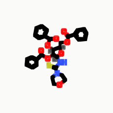 O=C(OC[C@H]1O[C@@H](NC(=S)N2CCOCC2)[C@H](OC(=O)c2ccccc2)[C@@H]1OC(=O)c1ccccc1)c1ccccc1